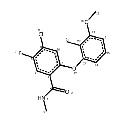 CNC(=O)c1cc(F)c(Cl)cc1Oc1cccc(OC)c1C